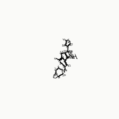 Cc1cc(CN2CCOCC2)cc2c1Cc1c(-c3ccsc3)n[nH]c1-2